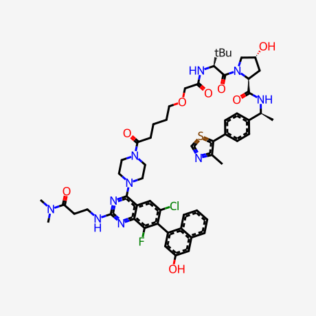 Cc1ncsc1-c1ccc([C@H](C)NC(=O)[C@@H]2C[C@@H](O)CN2C(=O)[C@@H](NC(=O)COCCCCC(=O)N2CCN(c3nc(NCCC(=O)N(C)C)nc4c(F)c(-c5cc(O)cc6ccccc56)c(Cl)cc34)CC2)C(C)(C)C)cc1